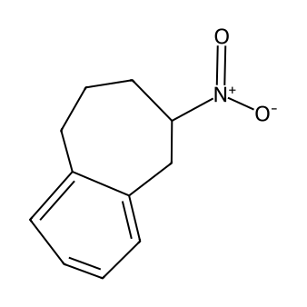 O=[N+]([O-])C1CCCc2ccccc2C1